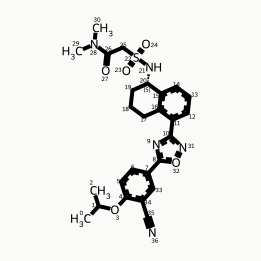 CC(C)Oc1ccc(-c2nc(-c3cccc4c3CCC[C@@H]4NS(=O)(=O)CC(=O)N(C)C)no2)cc1C#N